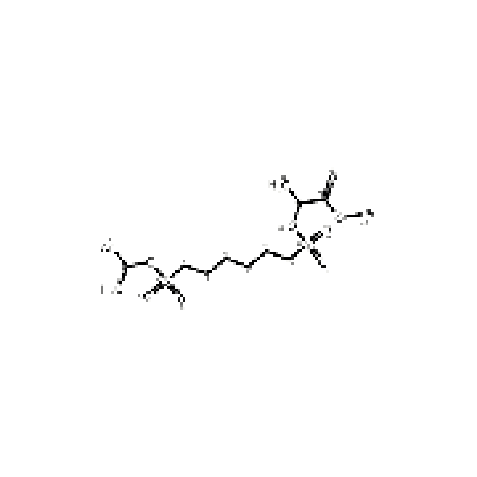 CC(=O)C(C)OS(=O)(=O)CCCCCCS(=O)(=O)OC(C)C(=O)OC(C)C